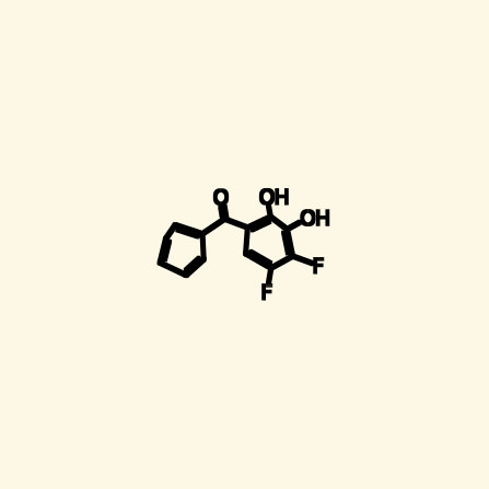 O=C(c1ccccc1)c1cc(F)c(F)c(O)c1O